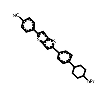 CCCC1CCC(c2ccc(-c3cc4sc(-c5ccc(C#N)cc5)cc4s3)cc2)CC1